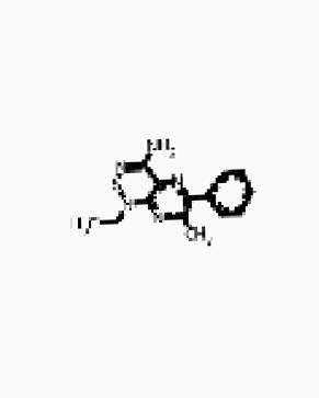 CCN1SN=C(N)c2nc(-c3ccccc3)c(C)nc21